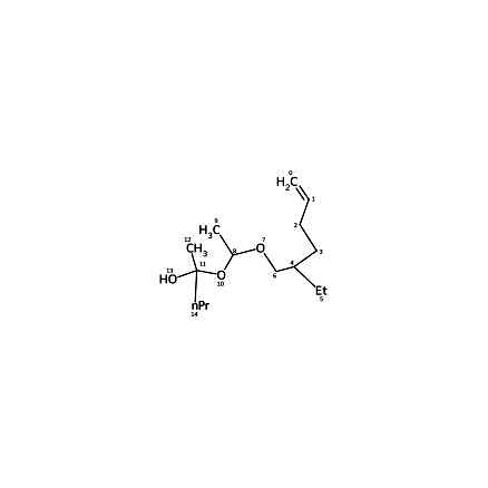 C=CCCC(CC)COC(C)OC(C)(O)CCC